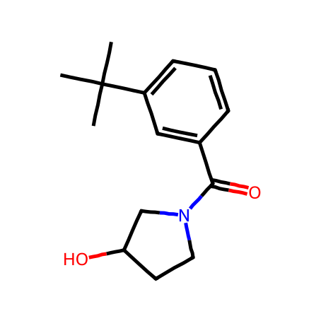 CC(C)(C)c1cccc(C(=O)N2CCC(O)C2)c1